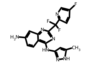 Cc1cc(Nc2nc(C(F)(F)c3ccc(F)cn3)nc3cc(N)ccc23)n[nH]1